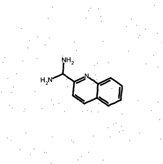 NC(N)c1ccc2ccccc2n1